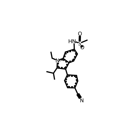 CCn1c(C(C)C)c(-c2ccc(C#N)cc2)c2ccc(NS(C)(=O)=O)cc21